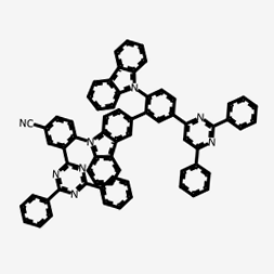 N#Cc1ccc(-n2c3ccccc3c3cc(-c4cc(-c5cc(-c6ccccc6)nc(-c6ccccc6)n5)ccc4-n4c5ccccc5c5ccccc54)ccc32)c(-c2nc(-c3ccccc3)nc(-c3ccccc3)n2)c1